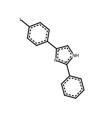 Ic1ccc(-c2c[nH]c(-c3ccccc3)n2)cc1